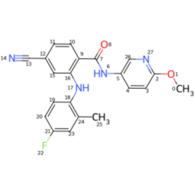 COc1ccc(NC(=O)c2ccc(C#N)cc2Nc2ccc(F)cc2C)cn1